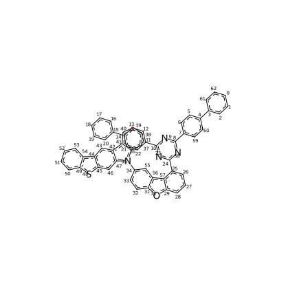 c1ccc(-c2ccc(-c3nc(-c4ccc(-c5ccccc5)cc4)nc(-c4cccc5oc6ccc(-n7c8ccccc8c8cc9c(cc87)sc7ccccc79)cc6c45)n3)cc2)cc1